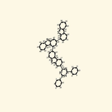 c1ccc(-c2nc(-c3ccccc3)nc(-c3ccc4c(c3)sc3ccc(-c5cc(-c6cccc7c6sc6ccccc67)cc6sc7ccccc7c56)cc34)n2)cc1